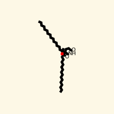 CCCCCCCCCCCCCCCC(C)(C)C1(C(C)(C)CCCCCCCCCCCCCCC)CCC(=O)NC1=O